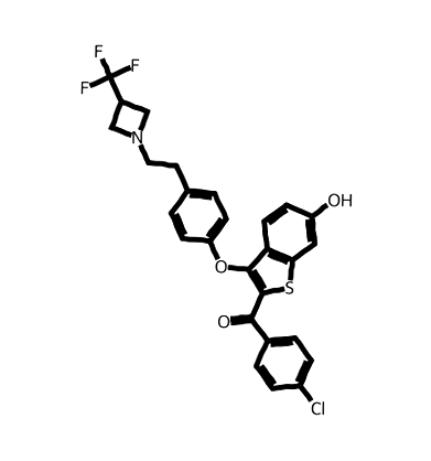 O=C(c1ccc(Cl)cc1)c1sc2cc(O)ccc2c1Oc1ccc(CCN2CC(C(F)(F)F)C2)cc1